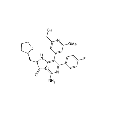 COc1cc(-c2c(-c3ccc(F)cc3)nc(N)[n+]3c(=O)n(C[C@H]4CCCO4)[nH]c23)cc(CO)n1